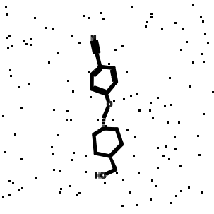 N#Cc1ccc(OC[C@H]2CC[C@H](CO)CC2)cc1